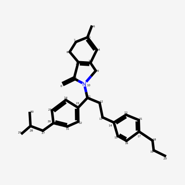 C=C1C2=C(C=C(C)CC2)CN1C(CCc1ccc(CCC)cc1)c1ccc(CC(C)C)cc1